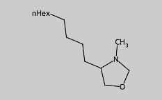 CCCCCCCCCCC1COCN1C